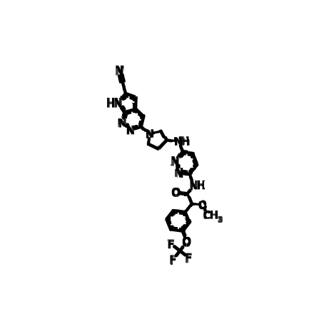 COC(C(=O)Nc1ccc(NC2CCN(c3cc4cc(C#N)[nH]c4nn3)C2)nn1)c1cccc(OC(F)(F)F)c1